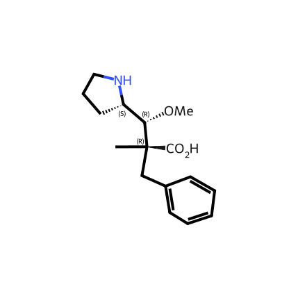 CO[C@@H]([C@@H]1CCCN1)[C@@](C)(Cc1ccccc1)C(=O)O